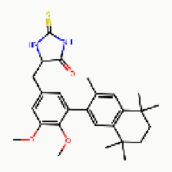 COc1cc(CC2NC(=S)NC2=O)cc(-c2cc3c(cc2C)C(C)(C)CCC3(C)C)c1OC